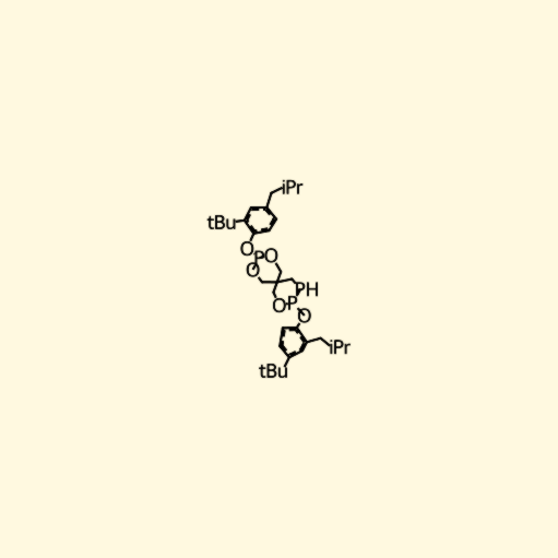 CC(C)Cc1ccc(OP2OCC3(CO2)COP(Oc2ccc(C(C)(C)C)cc2CC(C)C)PC3)c(C(C)(C)C)c1